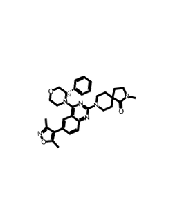 Cc1noc(C)c1-c1ccc2nc(N3CCC4(CCN(C)C4=O)CC3)nc(N3CCOC[C@@H]3c3ccccc3)c2c1